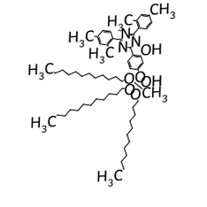 CCCCCCCCCCCCOC(C)(O)C(OCCCCCCCCCCCC)(OCCCCCCCCCCCC)Oc1ccc(-c2nc(-c3ccc(C)cc3C)nc(-c3ccc(C)cc3C)n2)c(O)c1